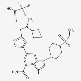 CCS(=O)(=O)N1CCC(c2c[nH]c3c(C(N)=O)cc(-c4csc(CN(C)C5CCC5)c4)cc23)CC1.O=C(O)C(F)(F)F